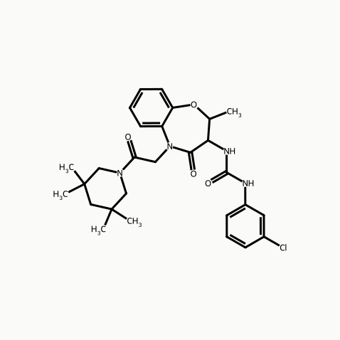 CC1Oc2ccccc2N(CC(=O)N2CC(C)(C)CC(C)(C)C2)C(=O)C1NC(=O)Nc1cccc(Cl)c1